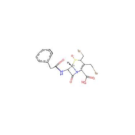 O=C(Cc1ccccc1)NC1C(=O)N2C(C(=O)O)=C(CBr)C(CBr)[S+]([O-])[C@@H]12